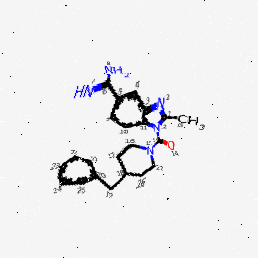 Cc1nc2cc(C(=N)N)ccc2n1C(=O)N1CCC(Cc2ccccc2)CC1